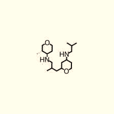 CC(C)CNC1CCOC(CC(C)CN[C@@H]2CCOC[C@H]2C)C1